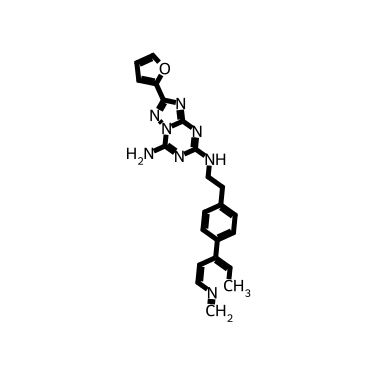 C=N/C=C\C(=C/C)c1ccc(CCNc2nc(N)n3nc(-c4ccco4)nc3n2)cc1